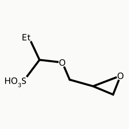 [CH2]CC(OCC1CO1)S(=O)(=O)O